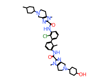 Cc1c(NC(=O)c2nc3c(n2C)CCN(C2CCC(O)CC2)C3)cccc1-c1cccc(NC(=O)c2nc3c(n2C)CCN(C2CCC(C)CC2)C3)c1Cl